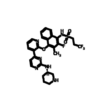 Cc1c(F)c(NS(=O)(=O)CCC(F)(F)F)c2ccccc2c1Oc1ncccc1-c1ccnc(N[C@H]2CCCNC2)n1